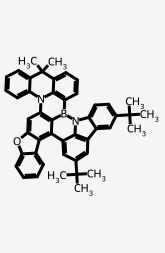 CC(C)(C)c1ccc2c(c1)c1cc(C(C)(C)C)cc3c1n2B1c2cccc4c2N(c2ccccc2C4(C)C)c2cc4oc5ccccc5c4c-3c21